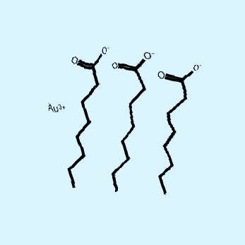 CCCCCCCC(=O)[O-].CCCCCCCC(=O)[O-].CCCCCCCC(=O)[O-].[Au+3]